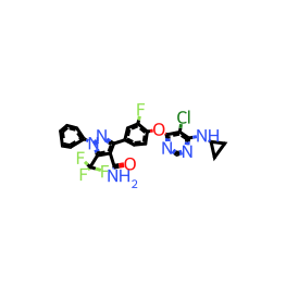 NC(=O)c1c(-c2ccc(Oc3ncnc(NC4CC4)c3Cl)c(F)c2)nn(-c2ccccc2)c1C(F)(F)F